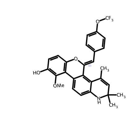 COc1c(O)ccc2c1-c1ccc3c(c1/C(=C/c1ccc(OC(F)(F)F)cc1)O2)C(C)=CC(C)(C)N3